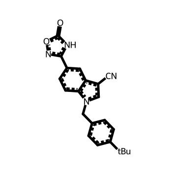 CC(C)(C)c1ccc(Cn2cc(C#N)c3cc(-c4noc(=O)[nH]4)ccc32)cc1